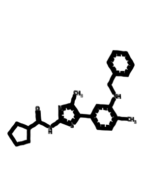 Cc1ccc(-c2sc(NC(=O)C3CCCC3)nc2C)cc1NCc1ccccc1